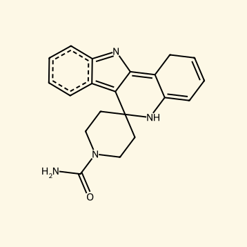 NC(=O)N1CCC2(CC1)NC1=CC=CCC1=C1N=c3ccccc3=C12